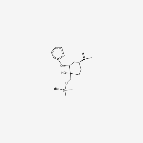 C=C(C)[C@H]1CC[C@@](O)(CO[Si](C)(C)C(C)(C)C)[C@@H]([Se]c2ccccc2)C1